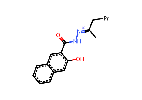 C/C(CC(C)C)=N\NC(=O)c1cc2ccccc2cc1O